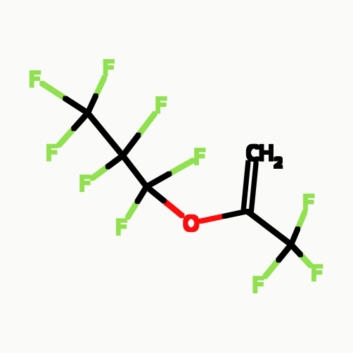 C=C(OC(F)(F)C(F)(F)C(F)(F)F)C(F)(F)F